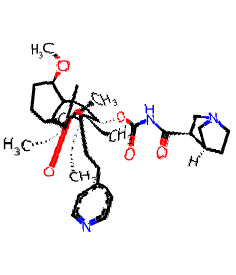 CO[C@@H]1CCC23CC[C@@H](C)[C@](C)(C12)[C@H](OC(=O)NC(=O)[C@H]1CN2CC[C@@H]1C2)C[C@@](C)(Cc1ccncc1)C(=O)[C@@H]3C